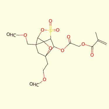 C=C(C)C(=O)OCC(=O)OC1C2C34OC1(CCOC=O)CC3(COC=O)C4OS2(=O)=O